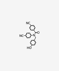 N#Cc1ccc(C(=O)N(Cc2ccc(O)cc2)c2ccc(C#N)cc2)cc1